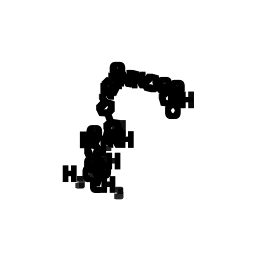 CCN(C)S(=O)(=O)Nc1ccc(F)c(C(=O)c2c[nH]c3ncc(-c4ccc(CN5CCN(C(=O)N6CCN(c7ccc(OC8CCC(=O)NC8=O)cc7)CC6)CC5)cc4)cc23)c1F